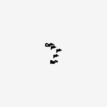 [Co+2].[P-3].[P-3].[P-3].[Re+7]